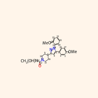 COc1ccc(-c2cc(C3CCN(C(=O)N(C)O)CC3)nn2-c2ccccc2OC)cc1